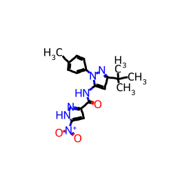 Cc1ccc(-n2nc(C(C)(C)C)cc2NC(=O)c2cc([N+](=O)[O-])[nH]n2)cc1